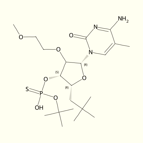 COCCOC1[C@@H](OP(O)(=S)OC(C)(C)C)[C@@H](CC(C)(C)C)O[C@H]1n1cc(C)c(N)nc1=O